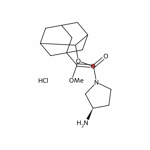 COC(=O)C12CC3CC(C1)C(OC(=O)N1CC[C@@H](N)C1)C(C3)C2.Cl